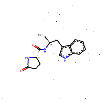 O=C1CC[C@@H](C(=O)N[C@H](Cc2c[nH]c3ccccc23)C(=O)O)N1